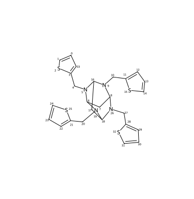 c1csc(CN2C3CC4N(Cc5cccs5)C2CC(N3Cc2cccs2)N4Cc2cccs2)c1